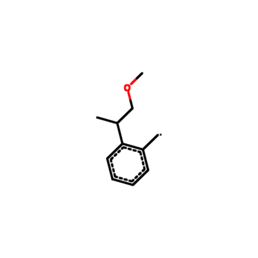 [CH2]c1ccccc1C(C)COC